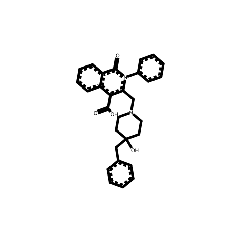 O=C(O)c1c(CN2CCC(O)(Cc3ccccc3)CC2)n(-c2ccccc2)c(=O)c2ccccc12